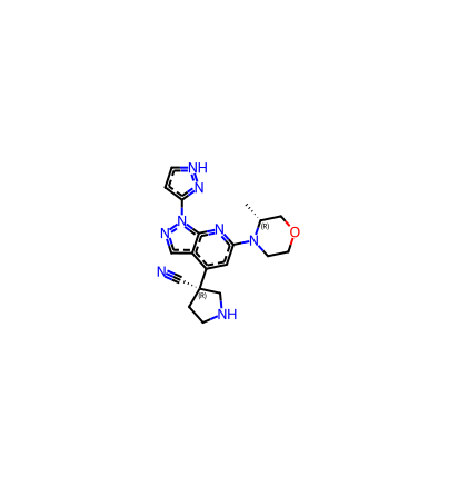 C[C@@H]1COCCN1c1cc([C@]2(C#N)CCNC2)c2cnn(-c3cc[nH]n3)c2n1